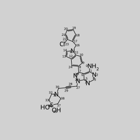 Nc1ncnc2c1c(-c1ccc3c(ccn3Cc3ccccc3Cl)c1)nn2CC#CCN1CCS(O)(O)CC1